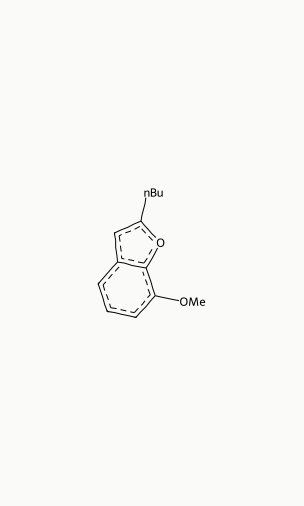 CCCCc1cc2cccc(OC)c2o1